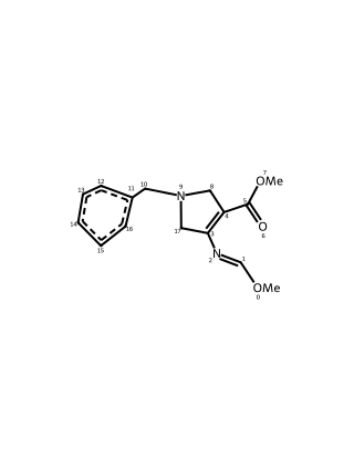 CO/C=N/C1=C(C(=O)OC)CN(Cc2ccccc2)C1